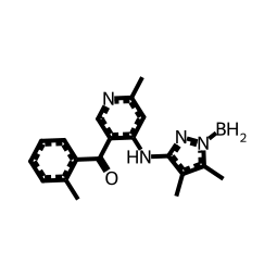 Bn1nc(Nc2cc(C)ncc2C(=O)c2ccccc2C)c(C)c1C